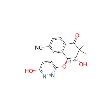 CC1(C)C(=O)c2ccc(C#N)cc2[C@H](Oc2ccc(O)nn2)[C@H]1O